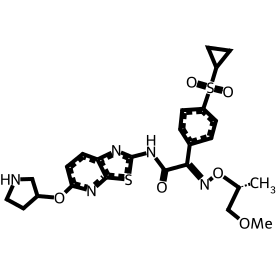 COC[C@@H](C)O/N=C(/C(=O)Nc1nc2ccc(OC3CCNC3)nc2s1)c1ccc(S(=O)(=O)C2CC2)cc1